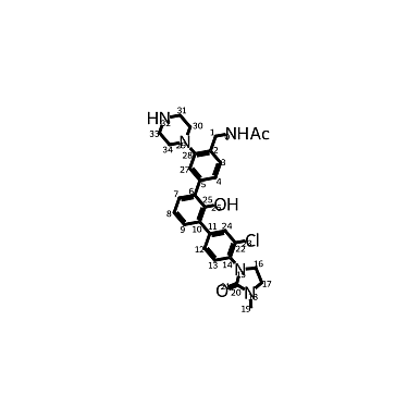 CC(=O)NCc1ccc(-c2cccc(-c3ccc(N4CCN(C)C4=O)c(Cl)c3)c2O)cc1N1CCNCC1